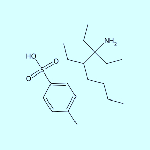 CCCCC(CC)C(N)(CC)CC.Cc1ccc(S(=O)(=O)O)cc1